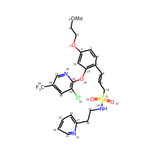 COCCOc1ccc(/C=C/CS(=O)(=O)NCCc2ccccn2)c(Oc2ncc(C(F)(F)F)cc2Cl)c1